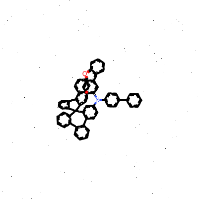 c1ccc(-c2ccc(N(c3ccc4c(c3)C3(c5ccccc5-c5ccccc5-4)c4ccccc4-c4c3ccc3ccccc43)c3ccc4oc5ccccc5c4c3)cc2)cc1